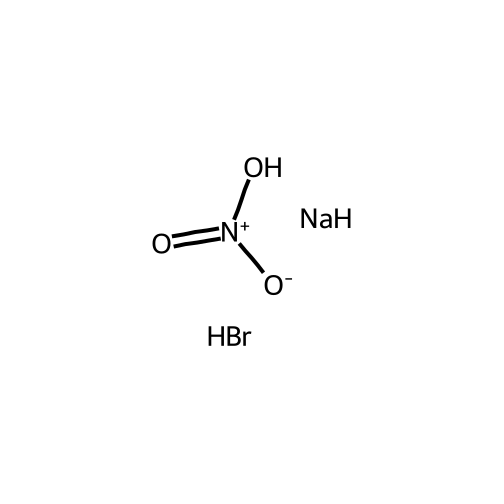 Br.O=[N+]([O-])O.[NaH]